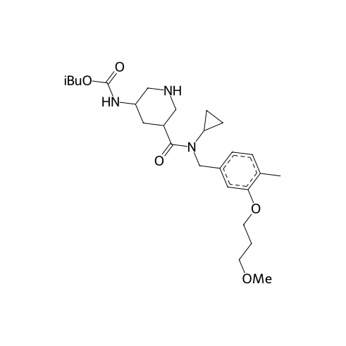 COCCCOc1cc(CN(C(=O)C2CNCC(NC(=O)OCC(C)C)C2)C2CC2)ccc1C